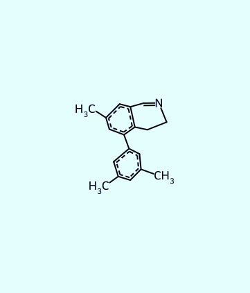 Cc1cc(C)cc(-c2cc(C)cc3c2CCN=C3)c1